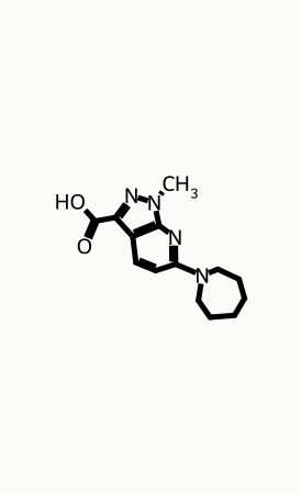 Cn1nc(C(=O)O)c2ccc(N3CCCCCC3)nc21